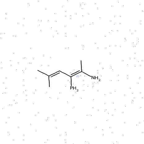 CC(C)=C/C(P)=C(\C)N